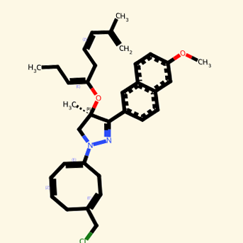 C=C(C)/C=C\C/C(=C\CC)O[C@]1(C)CN(/C2=C/C=C\C/C(CCl)=C\C2)N=C1c1ccc2cc(OC)ccc2c1